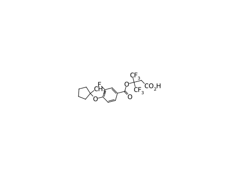 CC1(Oc2ccc(C(=O)OC(CC(=O)O)(C(F)(F)F)C(F)(F)F)cc2F)CCCC1